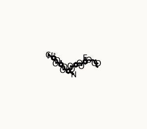 [C-]#[N+]c1ccc(OC(=O)c2ccc(OC(=O)c3ccc(C#N)c(OC(=O)c4ccc(OC(=O)c5ccc(OCCC(C)OC(=O)C=C)c(F)c5)cc4)c3)cc2C)cc1